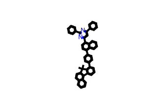 CC1(C)c2ccc3ccccc3c2-c2cccc(-c3ccc(-c4ccc(-c5cc(-c6ccccc6)nc(-c6ccccc6)n5)c5ccccc45)cc3)c21